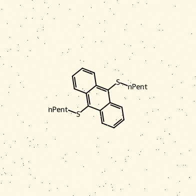 CCCCCSc1c2ccccc2c(SCCCCC)c2ccccc12